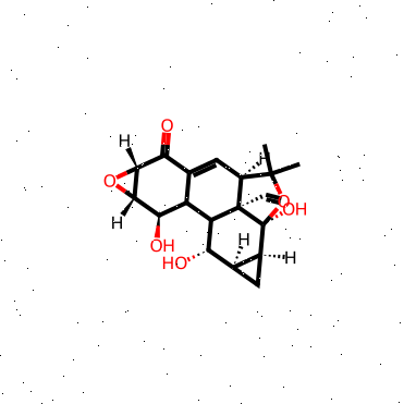 C=C[C@]12C3C4C(=C[C@H]1C(C)(C)O[C@@]2(O)[C@H]1C[C@H]1[C@@H]3O)C(=O)[C@H]1O[C@H]1[C@@H]4O